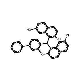 Oc1ccc2ccc(O)c(C3c4ccc(-c5ccccc5)cc4Oc4ccc5ccc(O)cc5c43)c2c1